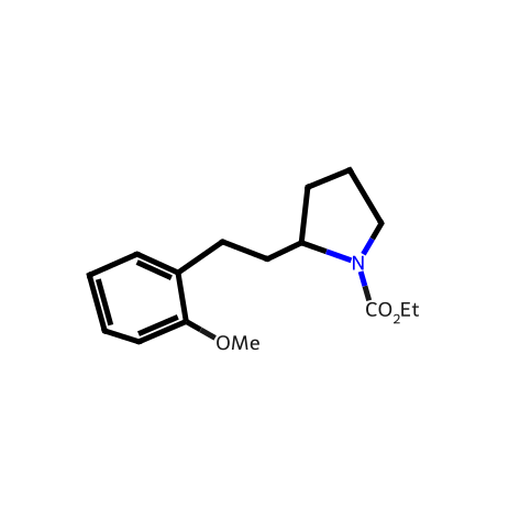 CCOC(=O)N1CCCC1CCc1ccccc1OC